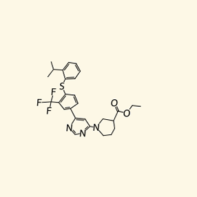 CCOC(=O)C1CCCN(c2cc(-c3ccc(Sc4ccccc4C(C)C)c(C(F)(F)F)c3)ncn2)C1